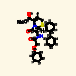 COC(=O)C1=C(C)CS[C@@H]2[C@H](NC(=O)COc3ccccc3)C(=O)N12.c1ccc(-c2ccccc2)cc1